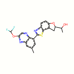 Cc1cc(-c2nc3ccc4c(c3s2)CC(C(C)O)O4)c2ncc(OC(F)F)nc2c1